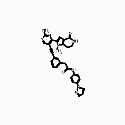 Cn1c(-c2nc(N)ncc2C#Cc2cccc(CC(=O)Nc3ccc(-n4cccn4)cc3)c2)cc2c1CCNC2=O